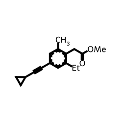 CCc1cc(C#CC2CC2)cc(C)c1CC(=O)OC